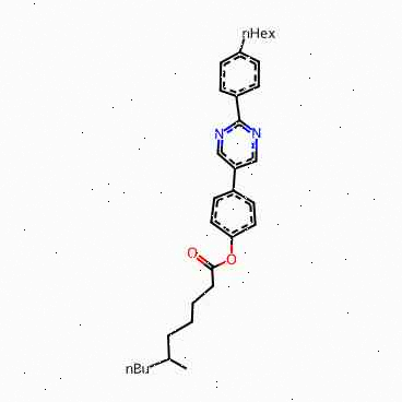 CCCCCCc1ccc(-c2ncc(-c3ccc(OC(=O)CCCCC(C)CCCC)cc3)cn2)cc1